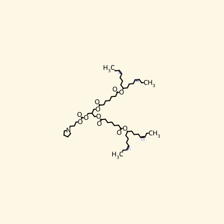 CC/C=C\CCCC(CCC/C=C\CC)OC(=O)CCCCCC(=O)OCC(COC(=O)CCCCCC(=O)OC(CCC/C=C\CC)CCC/C=C\CC)COC(=O)OCCCN1CCCC1